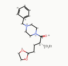 CCOC(=O)[C@H](CCC1OCCO1)C(=O)N1CCN(Cc2ccccc2)CC1